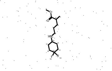 COC(=O)C(C)CCCNC1CCC(F)(F)CC1